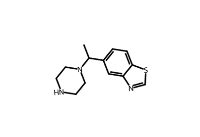 CC(c1ccc2scnc2c1)N1CCNCC1